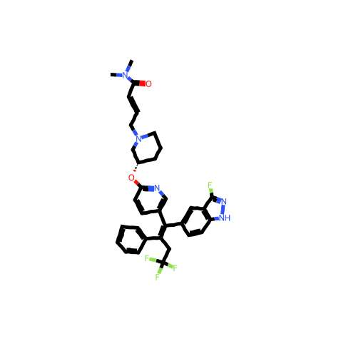 CN(C)C(=O)C=CCN1CCC[C@H](Oc2ccc(/C(=C(/CC(F)(F)F)c3ccccc3)c3ccc4[nH]nc(F)c4c3)cn2)C1